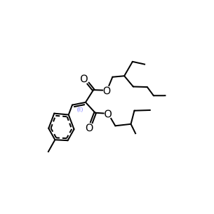 CCCCC(CC)COC(=O)/C(=C/c1ccc(C)cc1)C(=O)OCC(C)CC